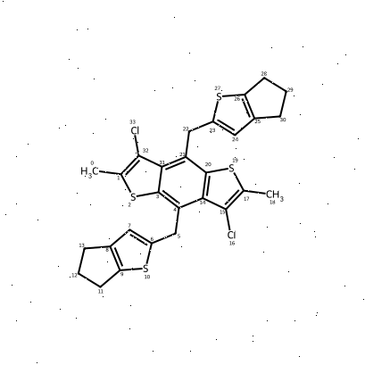 Cc1sc2c(Cc3cc4c(s3)CCC4)c3c(Cl)c(C)sc3c(Cc3cc4c(s3)CCC4)c2c1Cl